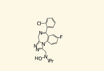 CC(C)N(O)Cc1nnc2n1-c1ccc(F)cc1C(c1ccccc1Cl)=NC2